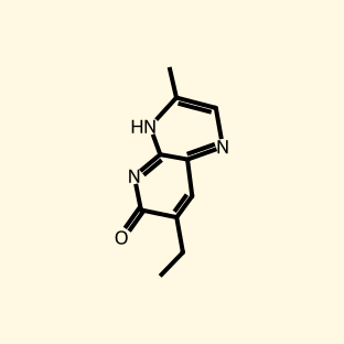 CCc1cc2ncc(C)[nH]c-2nc1=O